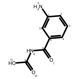 Nc1cccc(C(=O)NC(=O)O)c1